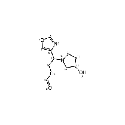 O=COCC(c1cocn1)N1CCC(O)C1